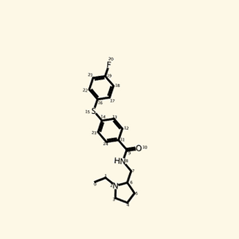 CCN1CCCC1CNC(=O)c1ccc(Sc2ccc(F)cc2)cc1